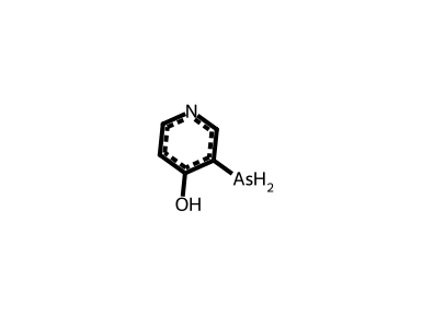 Oc1ccncc1[AsH2]